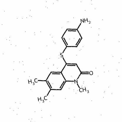 Cc1cc2c(Sc3ccc(N)cc3)cc(=O)n(C)c2cc1C